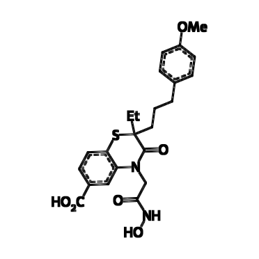 CCC1(CCCc2ccc(OC)cc2)Sc2ccc(C(=O)O)cc2N(CC(=O)NO)C1=O